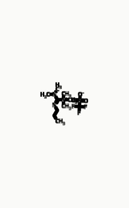 CCCN=C(N(C)C)[N+](C)(C)C.O=S(=O)([O-])C(F)(F)F